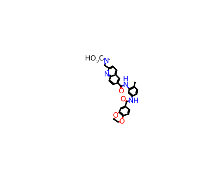 Cc1ccc(NC(=O)c2ccc3c(c2)OCCO3)cc1NC(=O)c1ccc2nc(CN(C)C(=O)O)ccc2c1